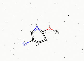 COc1ccc(N)[c]n1